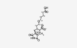 CC(C(C=C1NC(=O)NC1=O)CCOCCCCC(=O)O)[N+](=O)[O-]